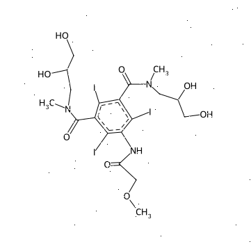 COCC(=O)Nc1c(I)c(C(=O)N(C)CC(O)CO)c(I)c(C(=O)N(C)CC(O)CO)c1I